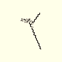 CCCCCCCCCCCCCCCCOCC(COP(=O)(O)OCC[N+](C)(C)C)OC(=O)CCCCCCCC